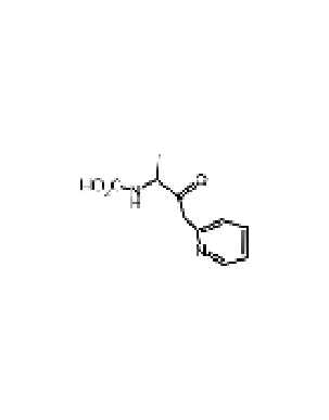 CC(NC(=O)O)C(=O)Cc1ccccn1